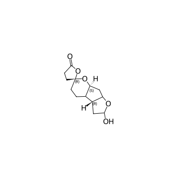 O=C1CC[C@@]2(CCC3[C@H]4CC(O)OC4C[C@@H]3O2)O1